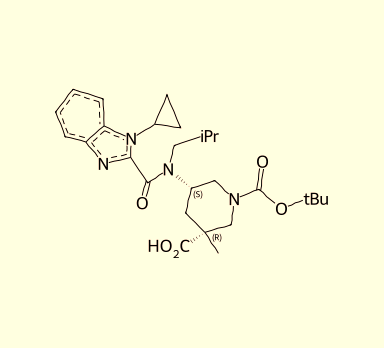 CC(C)CN(C(=O)c1nc2ccccc2n1C1CC1)[C@@H]1CN(C(=O)OC(C)(C)C)C[C@](C)(C(=O)O)C1